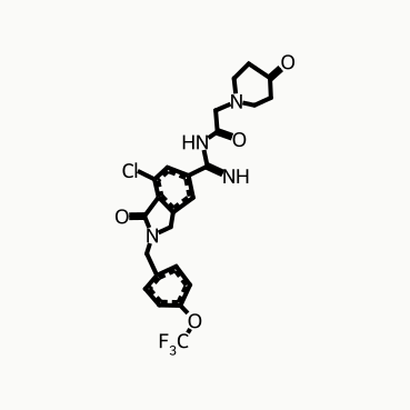 N=C(NC(=O)CN1CCC(=O)CC1)c1cc(Cl)c2c(c1)CN(Cc1ccc(OC(F)(F)F)cc1)C2=O